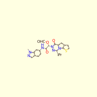 CC(C)c1nn(C(OC=O)C(=O)Nc2ccc3cnn(C)c3c2)c(=O)c2cc3ccsc3n12